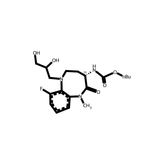 CCCCOC(=O)N[C@H]1CCN(CC(O)CO)c2c(F)cccc2N(C)C1=O